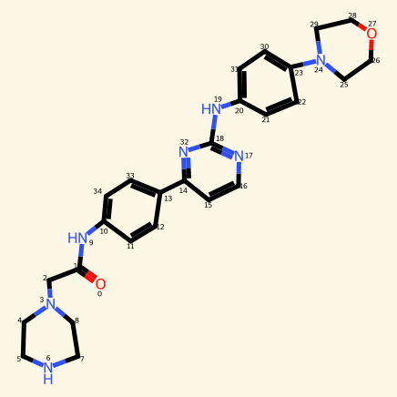 O=C(CN1CCNCC1)Nc1ccc(-c2ccnc(Nc3ccc(N4CCOCC4)cc3)n2)cc1